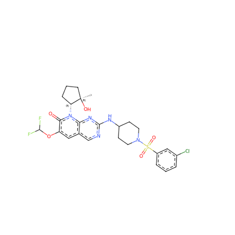 C[C@@]1(O)CCC[C@H]1n1c(=O)c(OC(F)F)cc2cnc(NC3CCN(S(=O)(=O)c4cccc(Cl)c4)CC3)nc21